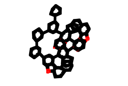 c1ccc(-c2cc(-c3cccc(-c4cccc(-c5cc(-c6c7ccccc7c(-c7ccccc7)c7ccccc67)c6c(c5)oc5ccc7ccccc7c56)c4)c3)cc(-c3c4ccccc4c(-c4cccc5oc6ccc7ccccc7c6c45)c4ccccc34)c2)cc1